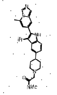 CNC(=O)CN1CCC(c2ccc3[nH]c(-c4cc(C)n5cncc5c4)c(C(C)C)c3c2)CC1